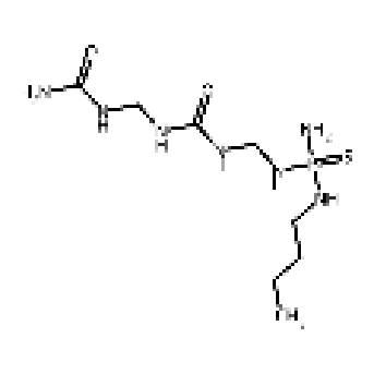 CCCCNP(N)(=S)NCNC(=O)NCNC(N)=O